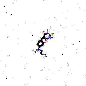 CN(CCC#N)c1ccc(C=C2C(=O)NC(=S)NC2=O)cc1